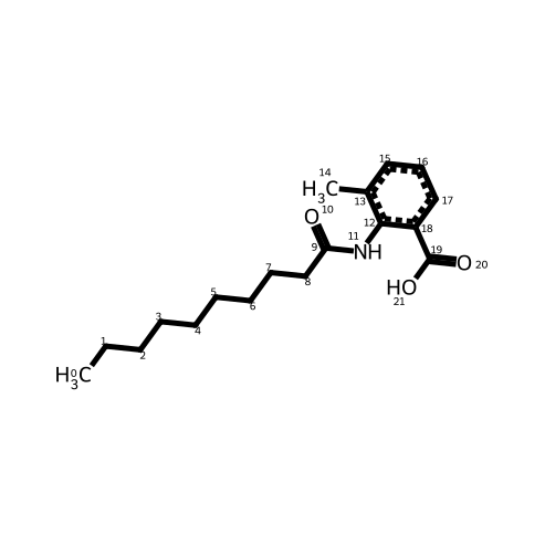 CCCCCCCCCC(=O)Nc1c(C)cccc1C(=O)O